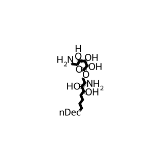 CCCCCCCCCCCCCC[C@@H](O)[C@@H](O)[C@@H](N)CO[C@H]1OC(CN)[C@H](O)[C@H](O)C1O